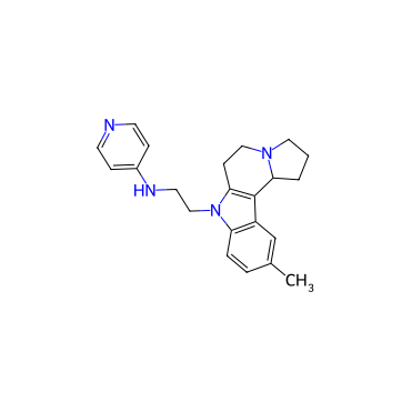 Cc1ccc2c(c1)c1c(n2CCNc2ccncc2)CCN2CCCC12